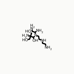 NCCNCCN(C(N)CN)C(O)C(N)(CO)CO